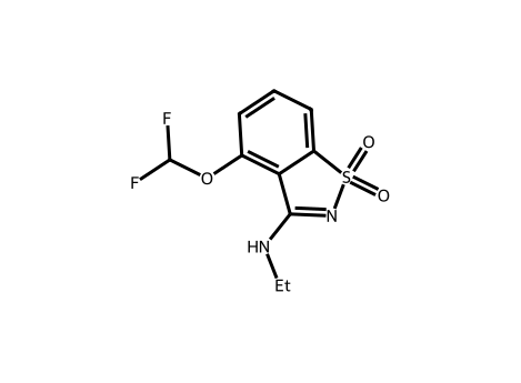 CCNC1=NS(=O)(=O)c2cccc(OC(F)F)c21